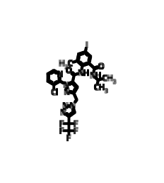 Cc1cc(I)cc(C(=O)NC(C)C)c1NC(=O)c1cc(Cn2cc(C(F)(F)C(F)(F)F)nn2)nn1-c1ncccc1Cl